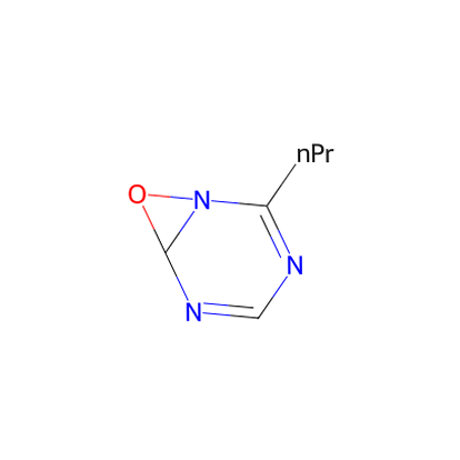 CCCC1=NC=NC2ON12